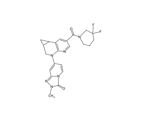 Cn1nc2cc(N3CC4CC4c4cc(C(=O)N5CCCC(F)(F)C5)cnc43)ccn2c1=O